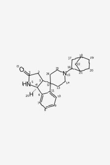 O=C1CC2[C@H](N1)c1ccccc1C21CCN(C2CC3CCC2C3)CC1